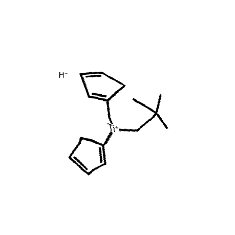 CC(C)(C)[CH2][Ti+]([C]1=CC=CC1)[C]1=CC=CC1.[H-]